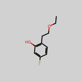 CCOCCc1ccc(F)cc1O